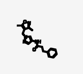 Cc1noc(C)c1Cn1cc(NC(=O)CCc2ccccc2)cn1